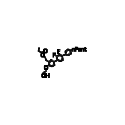 C=CC(=O)OCCc1cc(-c2ccc(-c3ccc(CCCCC)cc3)c(F)c2F)ccc1OCCO